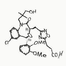 COc1cccc([C@H]2O[C@H](Cc3noc(CCC(=O)O)n3)C(=O)N(CC(C)(C)CO)c3ccc(Cl)cc32)c1OC